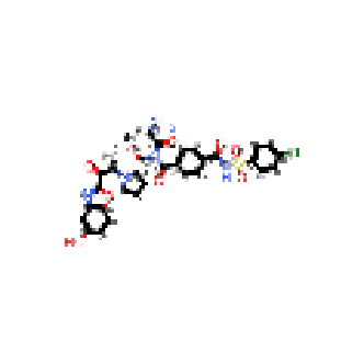 CC(C)C(C(=O)c1nc2cc(O)ccc2o1)N1CCC[C@H]1C(=O)N(C(=O)c1ccc(C(=O)NS(=O)(=O)c2ccc(Cl)cc2)cc1)C(=O)[C@@H](N)C(C)C